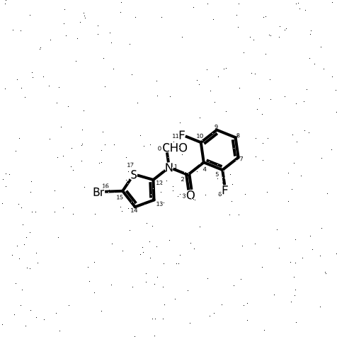 O=CN(C(=O)c1c(F)cccc1F)c1ccc(Br)s1